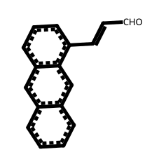 O=CC=Cc1cccc2cc3ccccc3cc12